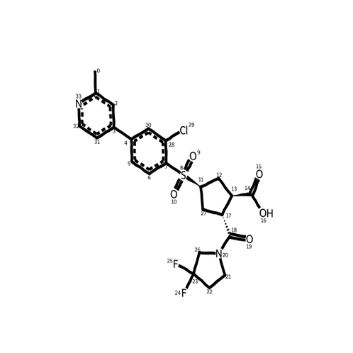 Cc1cc(-c2ccc(S(=O)(=O)[C@H]3C[C@@H](C(=O)O)[C@H](C(=O)N4CCC(F)(F)C4)C3)c(Cl)c2)ccn1